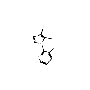 Clc1cccnc1-n1[c]cc(I)c1I